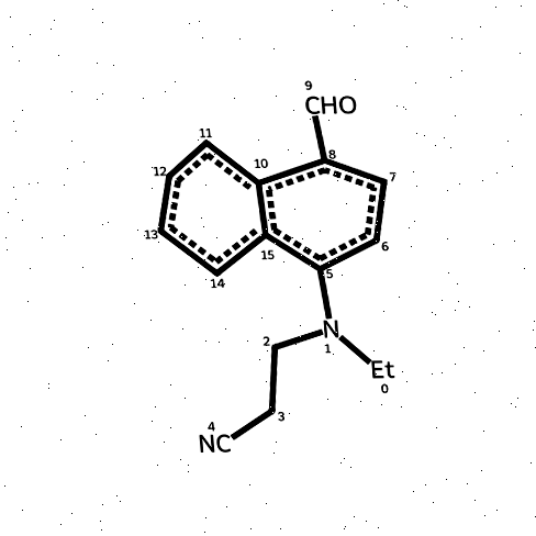 CCN(CCC#N)c1ccc(C=O)c2ccccc12